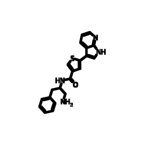 NCC(Cc1ccccc1)NC(=O)c1csc(-c2c[nH]c3ncccc23)c1